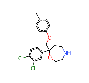 Cc1ccc(OCC2(c3ccc(Cl)c(Cl)c3)CCNCCO2)cc1